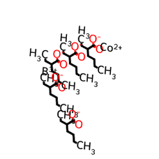 CCCCC(CC)C(=O)[O-].CCCCC(CC)C(=O)[O-].CCCCC(CC)C(=O)[O-].CCCCC(CC)C(=O)[O-].CCCCC(CC)C(=O)[O-].[B+3].[Co+2]